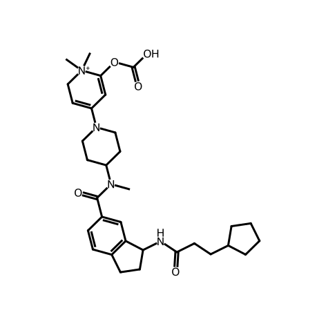 CN(C(=O)c1ccc2c(c1)C(NC(=O)CCC1CCCC1)CC2)C1CCN(C2=CC[N+](C)(C)C(OC(=O)O)=C2)CC1